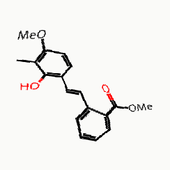 COC(=O)c1ccccc1C=Cc1ccc(OC)c(C)c1O